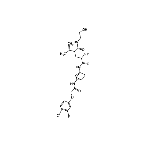 C=C(C)C(CC(CCC)C(=O)NC12CC(C1)C(NC(=O)COc1ccc(Cl)c(F)c1)C2)C(=O)NCCO